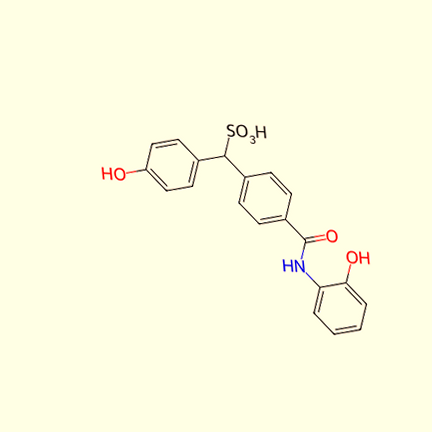 O=C(Nc1ccccc1O)c1ccc(C(c2ccc(O)cc2)S(=O)(=O)O)cc1